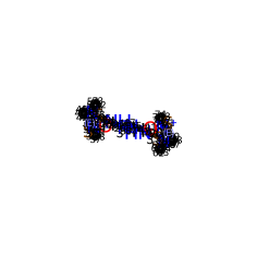 C[n+]1c(/C=C2\C=C(SCCC(=O)NCCCN3CCN(CCCNC(=O)CCSC4=C/C(=C\c5sc6ccccc6[n+]5C)c5ccccc5N4c4ccccc4)CC3)N(c3ccccc3)c3ccccc32)sc2ccccc21